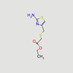 CCOC(=O)CSCc1csc(N)n1